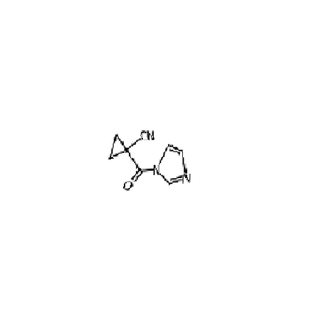 N#CC1(C(=O)n2ccnc2)CC1